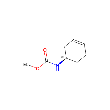 CCOC(=O)N[C@H]1CC=CCC1